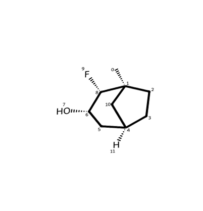 C[C@@]12CC[C@@H](C[C@H](O)[C@@H]1F)C2